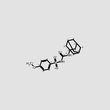 COc1ccc(S(=O)(=O)NC(=S)NC23CC4CC(CC(C4)C2)C3)cc1